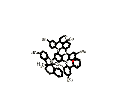 CC(C)(C)c1ccc2c(c1)B1c3ccc(C(C)(C)C)cc3N(c3ccc(C(C)(C)C)cc3-c3ccccc3)c3cc(N4c5ccc(C(C)(C)C)cc5C5(C)CCc6ccccc6C45C)cc(c31)N2c1ccc(C(C)(C)C)cc1-c1ccccc1